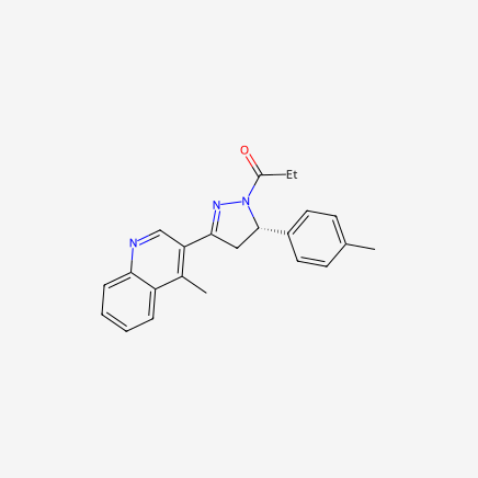 CCC(=O)N1N=C(c2cnc3ccccc3c2C)C[C@H]1c1ccc(C)cc1